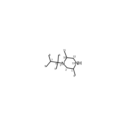 CC1CN(C(C)(C)C(C)C)C(C)CN1